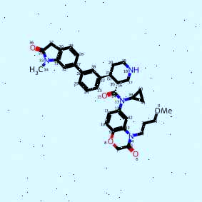 COCCCN1C(=O)COc2ccc(N(C(=O)[C@H]3CNCC[C@@H]3c3cccc(-c4ccc5c(c4)N(C)C(=O)C5)c3)C3CC3)cc21